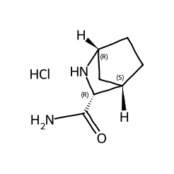 Cl.NC(=O)[C@@H]1N[C@@H]2CC[C@H]1C2